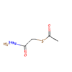 CC(=O)SCC(=O)NS